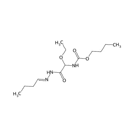 CCC/C=N/NC(=O)C(NC(=O)OCCCC)OCC